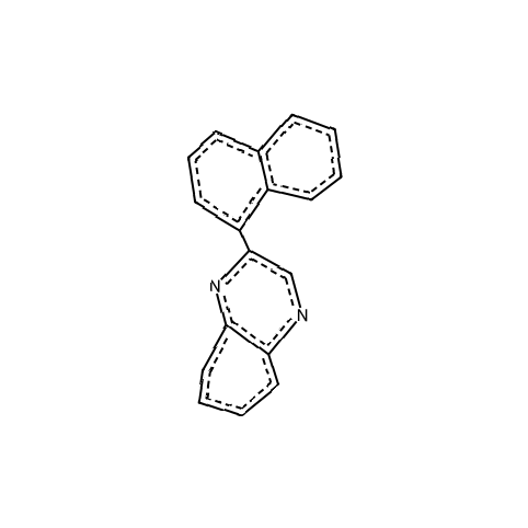 c1ccc2c(-c3cnc4ccccc4n3)cccc2c1